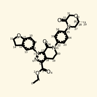 CCOC(=O)c1nn(-c2ccc3c(c2)CCO3)c2c1CCN(c1ccc(N3C[C@@H](C)OCC3=O)cc1)C2=O